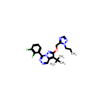 CCCn1ncnc1COc1nn2c(-c3cccc(F)c3F)nncc2c1C(C)(C)C